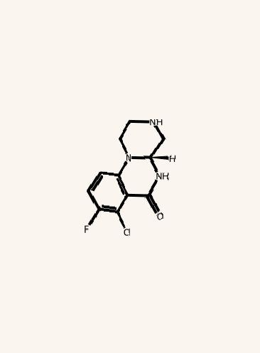 O=C1N[C@H]2CNCCN2c2ccc(F)c(Cl)c21